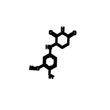 COc1cc(NC2CCC(=O)NC2=O)ccc1C(C)C